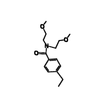 CCc1ccc(C(=O)N(CCOC)CCOC)cc1